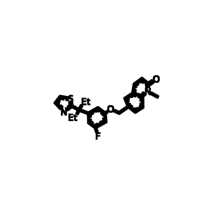 CCC(CC)(c1cc(F)cc(OCc2ccc3c(ccc(=O)n3C)c2)c1)c1nccs1